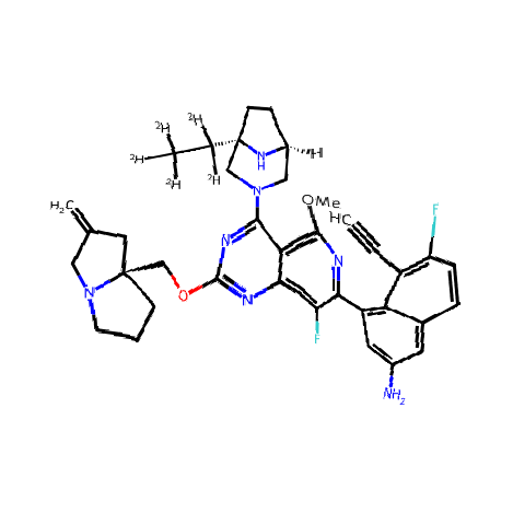 [2H]C([2H])([2H])C([2H])([2H])[C@@]12CC[C@@H](CN(c3nc(OC[C@@]45CCCN4CC(=C)C5)nc4c(F)c(-c5cc(N)cc6ccc(F)c(C#C)c56)nc(OC)c34)C1)N2